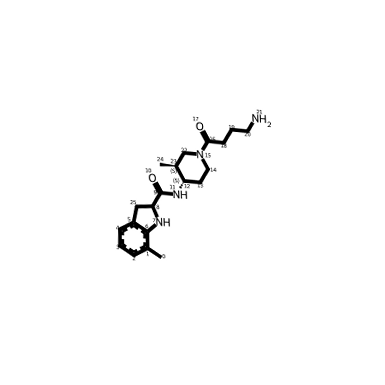 Cc1cccc2c1NC(C(=O)N[C@H]1CCN(C(=O)CCCN)C[C@@H]1C)C2